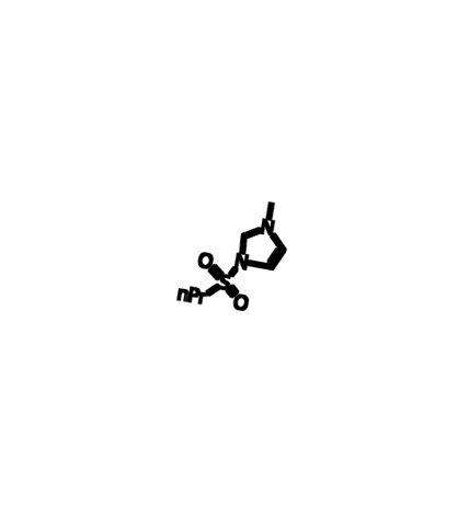 CCCS(=O)(=O)N1C=CN(C)C1